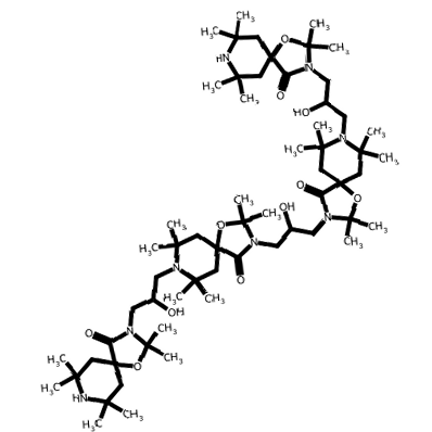 CC1(C)CC2(CC(C)(C)N1)OC(C)(C)N(CC(O)CN1C(C)(C)CC3(CC1(C)C)OC(C)(C)N(CC(O)CN1C(=O)C4(CC(C)(C)N(CC(O)CN5C(=O)C6(CC(C)(C)NC(C)(C)C6)OC5(C)C)C(C)(C)C4)OC1(C)C)C3=O)C2=O